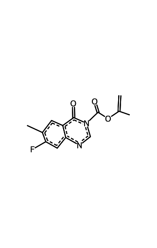 C=C(C)OC(=O)n1cnc2cc(F)c(C)cc2c1=O